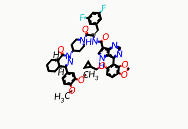 COc1ccc(C2=NN(C3CCN(C(=O)[C@@H](Cc4cc(F)cc(F)c4)NC(=O)c4c[nH]c5c(-c6c(OCC7CC7)ccc7c6OCO7)ncnc45)CC3)C(=O)[C@@H]3CCCC[C@H]23)cc1OC